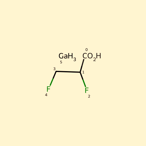 O=C(O)C(F)CF.[GaH3]